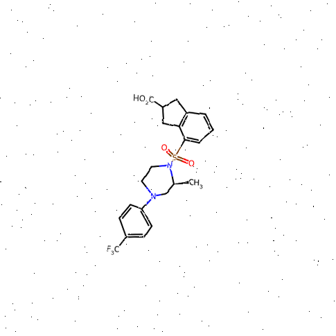 C[C@H]1CN(c2ccc(C(F)(F)F)cc2)CCN1S(=O)(=O)c1cccc2c1CC(C(=O)O)C2